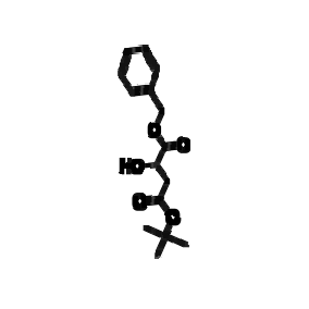 CC(C)(C)OC(=O)CC(O)C(=O)OCc1ccccc1